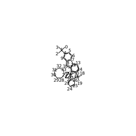 CC(C)(C)c1ccc2c(c1)Cc1c-2ccc(C(C)(C)C)[c]1[Zr]([C]1=CC=CC1)=[C]1CCCCCC1